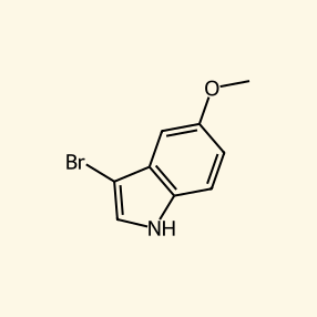 COc1ccc2[nH]cc(Br)c2c1